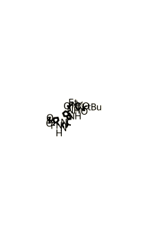 CC[C@H](C(=O)Nc1cccc2c(-c3nc(Nc4cccc(S(C)(=O)=O)c4F)ncc3C)c[nH]c12)N1C[C@@H](C)N(C(=O)OC(C)(C)C)[C@H](C)C1